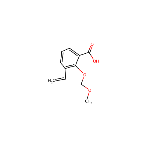 C=Cc1cccc(C(=O)O)c1OCOC